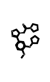 COc1ccc(C2=NOC[C@H]2CC(=O)N2CCCC2)cc1OC1CCCC1